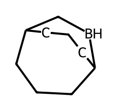 B1CC2CCCC1CCC2